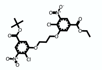 CCOC(=O)c1cc(OCCCOc2cc(C(=O)OC(C)(C)C)cc([N+](=O)[O-])c2Cl)c(Cl)c([N+](=O)[O-])c1